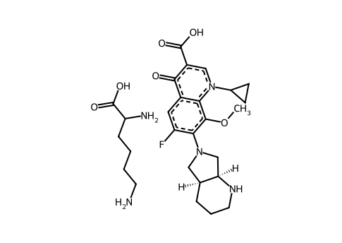 COc1c(N2C[C@@H]3CCCN[C@@H]3C2)c(F)cc2c(=O)c(C(=O)O)cn(C3CC3)c12.NCCCCC(N)C(=O)O